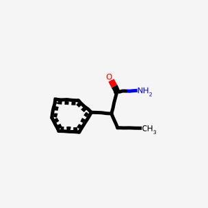 CCC(C(N)=O)c1ccccc1